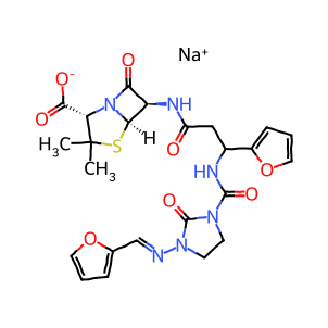 CC1(C)S[C@@H]2[C@H](NC(=O)CC(NC(=O)N3CCN(N=Cc4ccco4)C3=O)c3ccco3)C(=O)N2[C@H]1C(=O)[O-].[Na+]